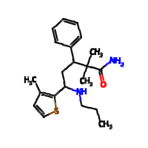 CCCNC(CC(c1ccccc1)C(C)(C)C(N)=O)c1sccc1C